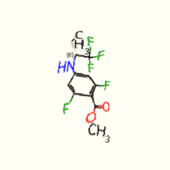 CC[C@@H](Nc1cc(F)c(C(=O)OC)c(F)c1)C(F)(F)F